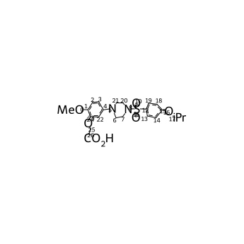 COc1ccc(N2CCN(S(=O)(=O)c3ccc(OC(C)C)cc3)CC2)cc1OCC(=O)O